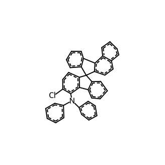 Clc1ccc2c(c1N(c1ccccc1)c1ccccc1)-c1ccccc1C21c2ccccc2-c2c1ccc1ccccc21